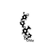 COC(=O)[C@@H]1CCCN1C(=O)c1cc(C2CC2)c(OCC2CCN(Cc3ccc(Cl)c(F)c3)CC2)cc1F